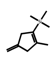 C=C1CC(C)=C([Si](C)(C)C)C1